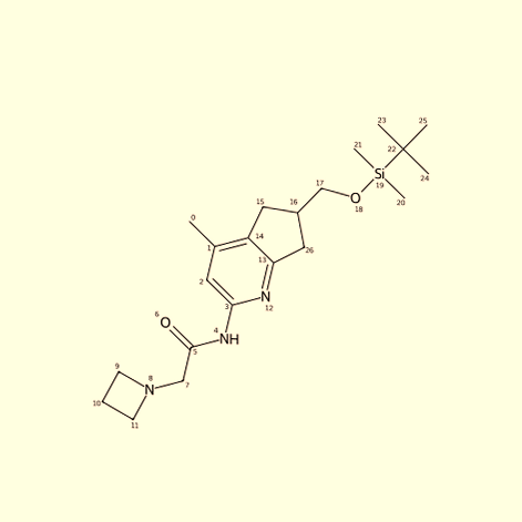 Cc1cc(NC(=O)CN2CCC2)nc2c1CC(CO[Si](C)(C)C(C)(C)C)C2